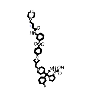 N#C[C@@](c1cccc(F)c1)(C1CCN(CC2CN(c3ccc(S(=O)(=O)c4cccc(NC(=O)/C=C/CN5CCOCC5)c4)cc3)C2)CC1)[C@H]1CCC[C@@H]1NC(=O)O